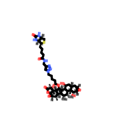 CC(=O)O[C@H]1C2C([C@@H]3[C@H](OC(=O)CCCCn4cc(CNC(=O)CCCC[C@@H]5SC[C@@H]6NC(=O)N[C@@H]65)nn4)[C@@H]4[C@H]([C@H](C)[C@H]5O[C@]56OC(=O)[C@@](C)(O)[C@]46C)[C@@]3(C)[C@H]1OC(C)=O)[C@@H](O)C[C@H]1C[C@@H]3O[C@@H]3[C@H](O)[C@]21C